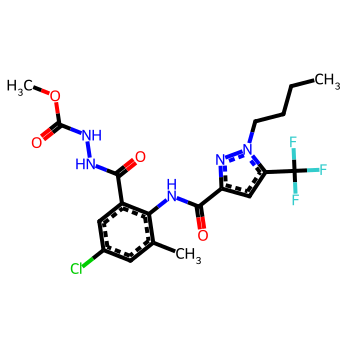 CCCCn1nc(C(=O)Nc2c(C)cc(Cl)cc2C(=O)NNC(=O)OC)cc1C(F)(F)F